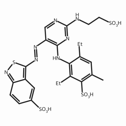 CCc1cc(C)c(S(=O)(=O)O)c(CC)c1Nc1nc(NCCS(=O)(=O)O)ncc1N=Nc1snc2ccc(S(=O)(=O)O)cc12